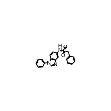 O=S(=O)(Cc1ccccc1)Nc1ccc2c(c1)ncn2-c1ccccc1